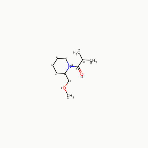 COCC1CCCCN1C(=O)C(C)C